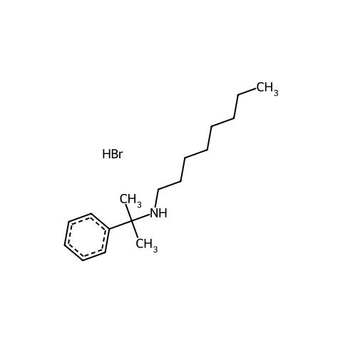 Br.CCCCCCCCNC(C)(C)c1ccccc1